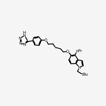 CCCc1c(OCCCCCOc2ccc(-c3nnn[nH]3)cc2)ccc2c1ccn2CC(C)(C)C